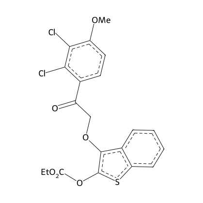 CCOC(=O)Oc1sc2ccccc2c1OCC(=O)c1ccc(OC)c(Cl)c1Cl